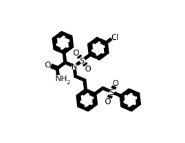 NC(=O)C(c1ccccc1)N(CCc1ccccc1CS(=O)(=O)c1ccccc1)S(=O)(=O)c1ccc(Cl)cc1